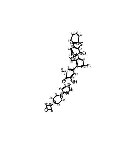 Cn1cc(-c2cc(F)cc(-n3ncc4c5c(sc4c3=O)CCCC5)c2CO)cc(Nc2ccc(N3CCN(C4COC4)CC3)nn2)c1=O